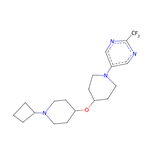 FC(F)(F)c1ncc(N2CCC(OC3CCN(C4CCC4)CC3)CC2)cn1